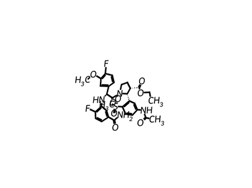 CCOC(=O)[C@H]1CCN(C(=O)[C@@H](Nc2cc(C(N)=O)ccc2F)c2ccc(F)c(OC)c2)[C@H]1c1cc(NC(C)=O)ccc1S(C)(=O)=O